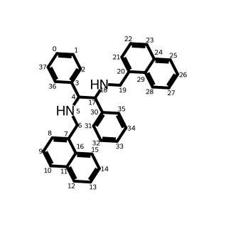 c1ccc(C(NCc2cccc3ccccc23)C(NCc2cccc3ccccc23)c2ccccc2)cc1